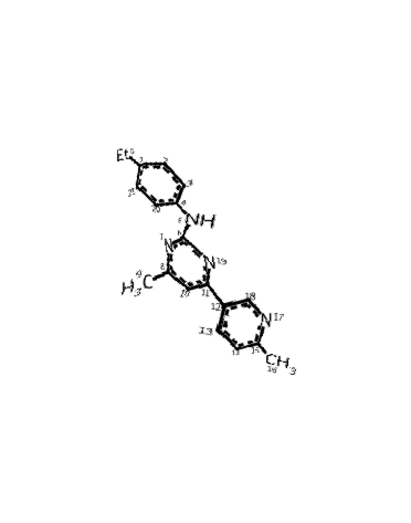 CCc1ccc(Nc2nc(C)cc(-c3ccc(C)nc3)n2)cc1